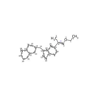 CCO/N=C(\C)c1ccc2nnc(Cc3ccc4ncccc4c3)n2n1